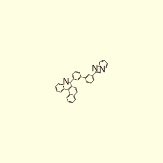 c1cc(-c2cccc(-c3nc4ccccc4c4c3ccc3ccccc34)c2)cc(-c2cn3ccccc3n2)c1